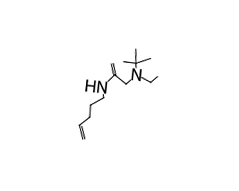 C=CCCCNC(=C)CN(CC)C(C)(C)C